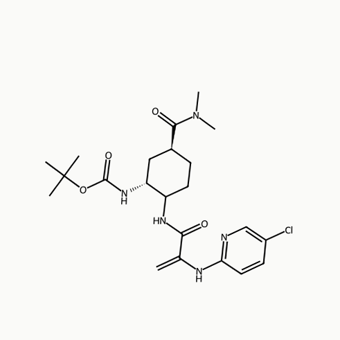 C=C(Nc1ccc(Cl)cn1)C(=O)NC1CC[C@H](C(=O)N(C)C)C[C@H]1NC(=O)OC(C)(C)C